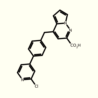 O=C(O)c1cc(Cc2ccc(-c3ccnc(Cl)c3)cc2)c2cccn2n1